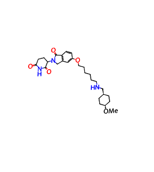 CO[C@H]1CC[C@@H](CNCCCCCCOc2ccc3c(c2)CN(C2CCC(=O)NC2=O)C3=O)CC1